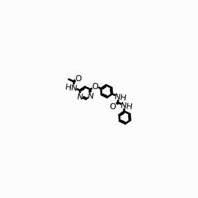 CC(=O)Nc1cc(Oc2ccc(NC(=O)Nc3ccccc3)cc2)ncn1